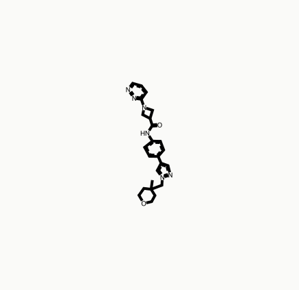 CC1(Cn2cc(-c3ccc(NC(=O)C4CN(c5cccnn5)C4)cc3)cn2)CCOCC1